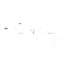 COC(=O)Oc1ccc(N=Cc2ccc(C#N)cc2)cc1